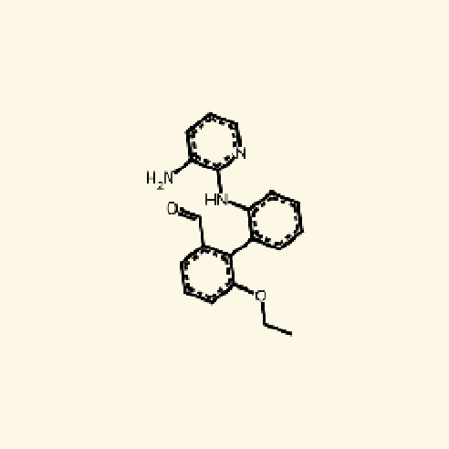 CCOc1cccc(C=O)c1-c1ccccc1Nc1ncccc1N